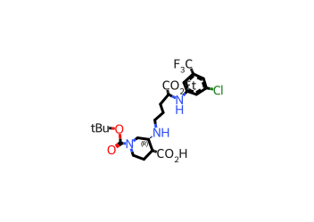 CCOC(=O)C(CCCN[C@H]1CN(C(=O)OC(C)(C)C)CCC1C(=O)O)Nc1cc(Cl)cc(C(F)(F)F)c1